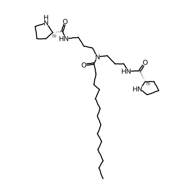 CCCCCCCCCCCCCC(=O)N(CCCNC(=O)[C@@H]1CCCN1)CCCNC(=O)[C@@H]1CCCN1